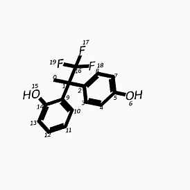 CC(c1ccc(O)cc1)(c1ccccc1O)C(F)(F)F